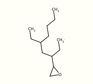 [CH2]CC(CC(CC)CCCC)C1CO1